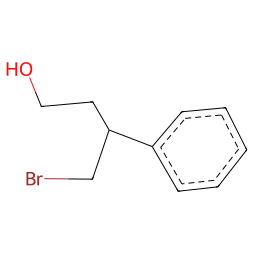 OCCC(CBr)c1ccccc1